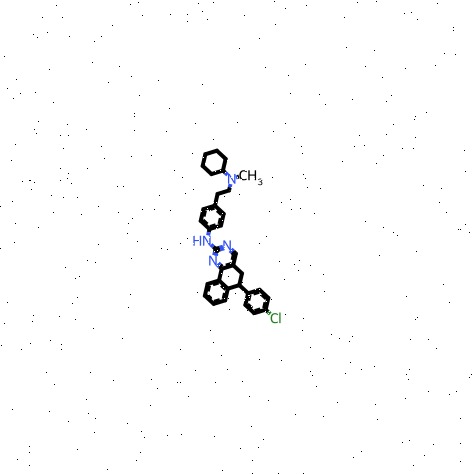 CN(CCc1ccc(Nc2ncc3c(n2)-c2ccccc2C(c2ccc(Cl)cc2)C3)cc1)C1CCCCC1